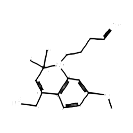 COc1ccc2c(c1)N(CCCC=O)C(C)(C)C=C2CS